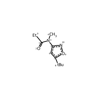 CCC(=O)N(C)c1cc(C(C)(C)C)on1